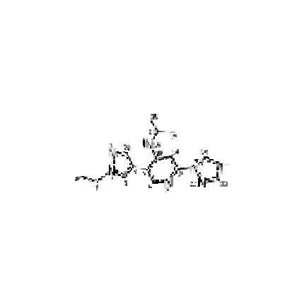 CCn1cc(-c2cnc(-n3cccn3)cc2NC(C)C)cn1